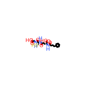 O=C(O)CNC(=O)[C@H](CS)NC(=O)CC[C@H](NC(=O)CCCc1ccccc1)C(=O)O